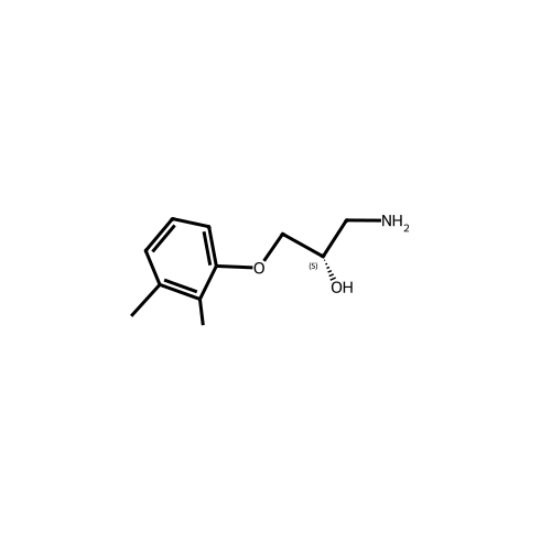 Cc1cccc(OC[C@@H](O)CN)c1C